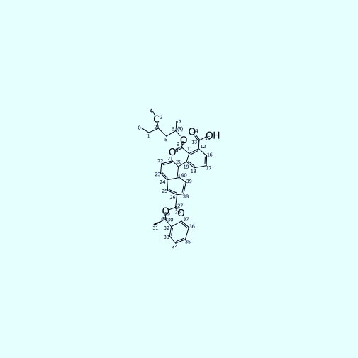 CCC(CC)C[C@@H](C)OC(=O)c1c(C(=O)O)cccc1-c1cccc2cc(C(=O)O[C@H](C)c3ccccc3)ccc12